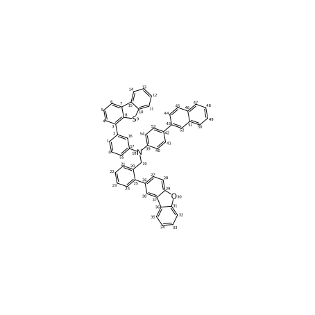 c1cc(-c2cccc3c2sc2ccccc23)cc(N(Cc2ccccc2-c2ccc3oc4ccccc4c3c2)c2ccc(-c3ccc4ccccc4c3)cc2)c1